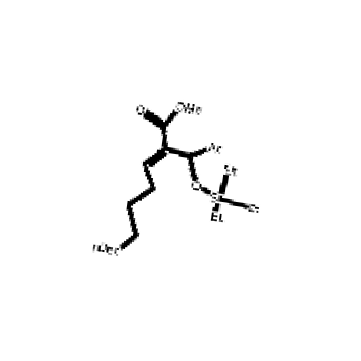 CCCCCCCCCCCCC/C=C(/C(=O)OC)C(O[Si](CC)(CC)CC)C(C)=O